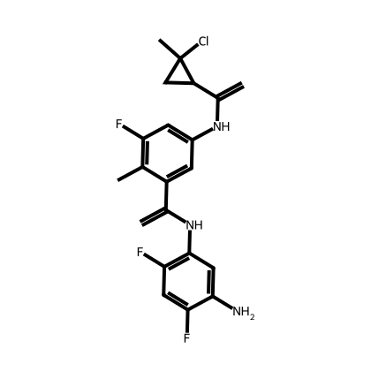 C=C(Nc1cc(N)c(F)cc1F)c1cc(NC(=C)C2CC2(C)Cl)cc(F)c1C